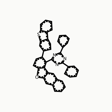 c1ccc(-c2nc(-c3ccccc3)nc(-c3c(-c4ccc5c(c4)sc4ccccc45)ccc4oc5cc6ccccc6cc5c34)n2)cc1